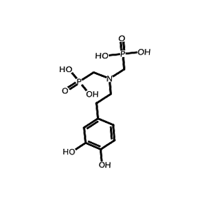 O=P(O)(O)CN(CCc1ccc(O)c(O)c1)CP(=O)(O)O